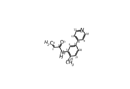 C=CC(=O)Nc1cc(-c2ccncc2)ccc1C